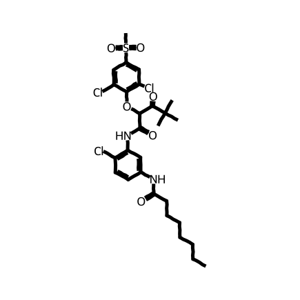 CCCCCCCC(=O)Nc1ccc(Cl)c(NC(=O)C(Oc2c(Cl)cc(S(C)(=O)=O)cc2Cl)C(=O)C(C)(C)C)c1